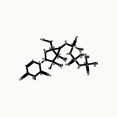 C[C@]1(O)[C@H](n2ccc(=O)[nH]c2=O)O[C@]2(CF)C(O[P@@](O)(=S)OP(=O)(O)OP(=O)(O)O)[C@]12O